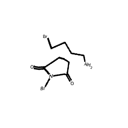 O=C1CCC(=O)N1Br.[AlH2][CH2]CCCBr